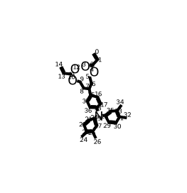 C=CC(=O)OCCC(CCOC(=O)C=C)c1ccc(N(c2ccc(C)c(C)c2)c2ccc(C)c(C)c2)cc1